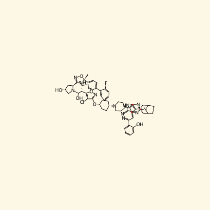 CC(C)[C@H](c1onc(O[C@H]2CC[C@H](N3CCC(c4cnc(N5C6CCC5CN(c5c[nH]c7nnc(-c8ccccc8O)cc57)C6)nc4)CC3)CC2)c1Cl)C(O)N1C[C@H](O)C[C@H]1C1=NO[C@](C)(c2ccc(-c3ccccc3F)cc2)N1